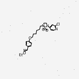 CCO/N=C/c1ccc(OCCCCCCN2CCN(c3ccnc(Cl)c3)S2(=O)=O)cc1